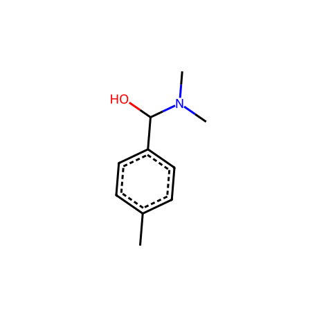 Cc1ccc(C(O)N(C)C)cc1